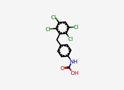 O=C(O)Nc1ccc(Cc2c(Cl)c(Cl)cc(Cl)c2Cl)cc1